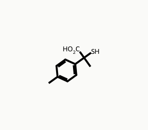 Cc1ccc(C(C)(S)C(=O)O)cc1